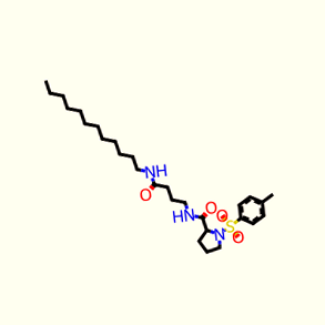 CCCCCCCCCCCCNC(=O)CCCNC(=O)C1CCCN1S(=O)(=O)c1ccc(C)cc1